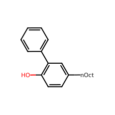 CCCCCCCCc1ccc(O)c(-c2ccccc2)c1